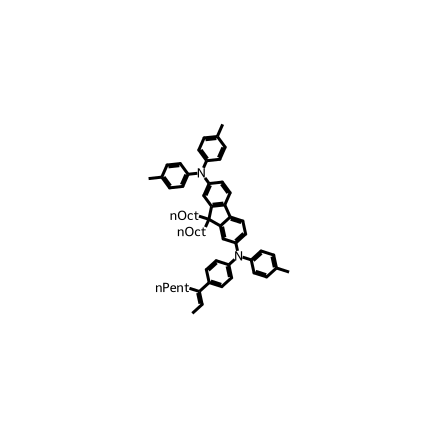 CC=C(CCCCC)c1ccc(N(c2ccc(C)cc2)c2ccc3c(c2)C(CCCCCCCC)(CCCCCCCC)c2cc(N(c4ccc(C)cc4)c4ccc(C)cc4)ccc2-3)cc1